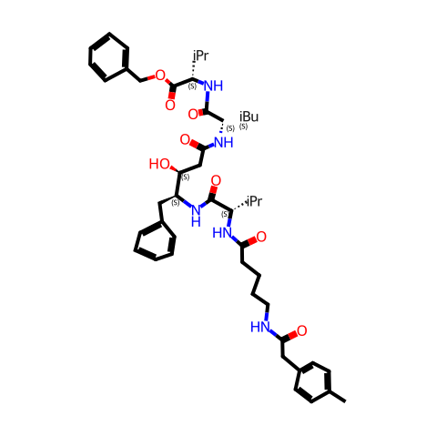 CC[C@H](C)[C@H](NC(=O)C[C@H](O)[C@H](Cc1ccccc1)NC(=O)[C@@H](NC(=O)CCCCNC(=O)Cc1ccc(C)cc1)C(C)C)C(=O)N[C@H](C(=O)OCc1ccccc1)C(C)C